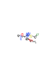 COc1cccc(-n2c(CCCC(=O)NCC3=CCCC=C3)nnc2SCC2=CC=CC(Cl)C2)c1